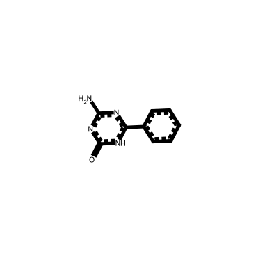 Nc1nc(-c2ccccc2)[nH]c(=O)n1